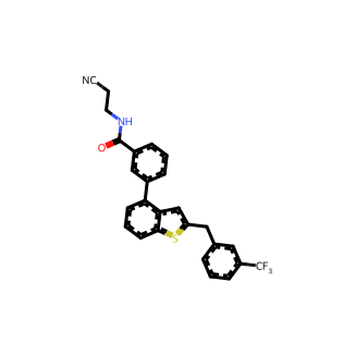 N#CCCNC(=O)c1cccc(-c2cccc3sc(Cc4cccc(C(F)(F)F)c4)cc23)c1